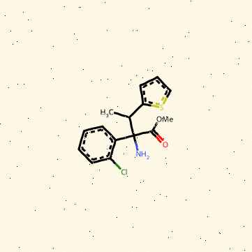 COC(=O)C(N)(c1ccccc1Cl)C(C)c1cccs1